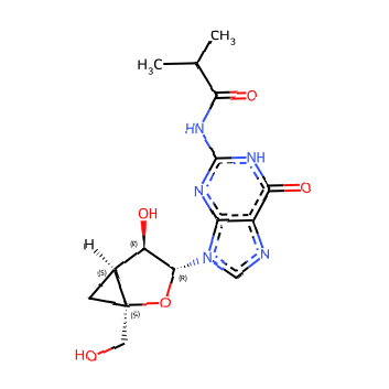 CC(C)C(=O)Nc1nc2c(ncn2[C@@H]2O[C@@]3(CO)C[C@H]3[C@H]2O)c(=O)[nH]1